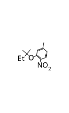 CCC(C)(C)Oc1cc(C)ccc1[N+](=O)[O-]